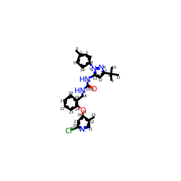 Cc1ccc(-n2nc(C(C)(C)C)cc2NC(=O)NCc2ccccc2Oc2cc(Cl)ncc2C)cc1